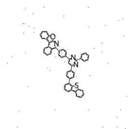 c1ccc(-c2nc(-c3ccc(-c4nc5oc6ccccc6c5c5ccccc45)cc3)cc(-c3ccc(-c4cccc5c4sc4ccccc45)cc3)n2)cc1